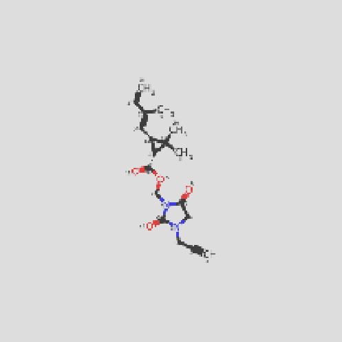 C#CCN1CC(=O)N(COC(=O)[C@@H]2[C@@H](/C=C(\C)C=C)C2(C)C)C1=O